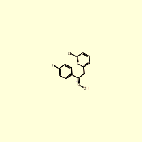 O/N=C(\Cc1cccc(Cl)n1)c1ccc(F)cc1